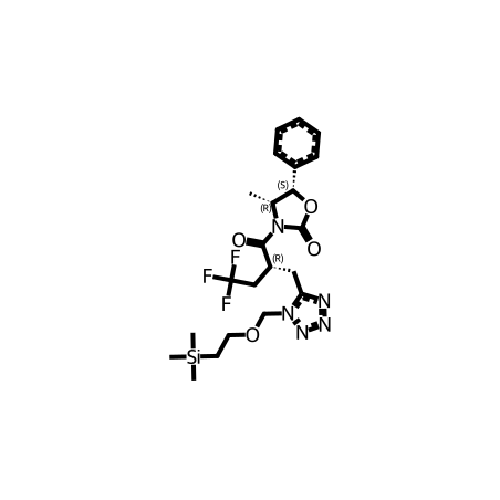 C[C@@H]1[C@H](c2ccccc2)OC(=O)N1C(=O)[C@H](Cc1nnnn1COCC[Si](C)(C)C)CC(F)(F)F